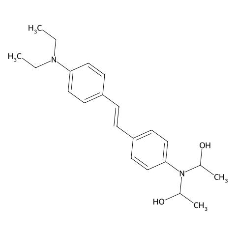 CCN(CC)c1ccc(C=Cc2ccc(N(C(C)O)C(C)O)cc2)cc1